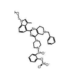 Cc1cn(SOI)c2cccc(-c3nc4c(c(N5CCN([S+]([O-])c6ccccc6O[N+](=O)[O-])CC5)n3)CN(Cc3ccccc3)CC4)c12